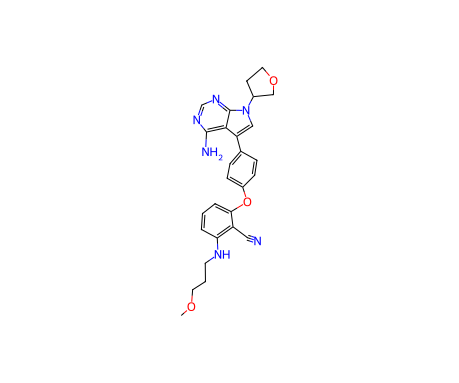 COCCCNc1cccc(Oc2ccc(-c3cn(C4CCOC4)c4ncnc(N)c34)cc2)c1C#N